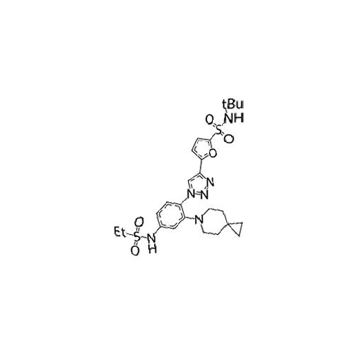 CCS(=O)(=O)Nc1ccc(-n2cc(-c3ccc(S(=O)(=O)NC(C)(C)C)o3)nn2)c(N2CCC3(CC2)CC3)c1